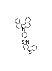 c1ccc2c(c1)ccc1c2c2c3ccccc3ccc2n1-c1ccc(-c2nc3c(ccc4sc5ccccc5c43)s2)cc1